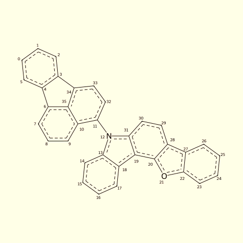 c1ccc2c(c1)-c1cccc3c(-n4c5ccccc5c5c6oc7ccccc7c6ccc54)ccc-2c13